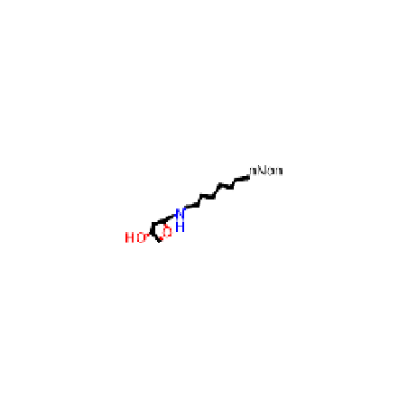 CCCCCCCCCCCCCCCCCNCC1CC(O)CO1